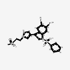 CS(=O)(=O)CCn1cc(-c2cn(S(=O)(=O)c3ccccc3)c3cc(F)c(F)cc23)cn1